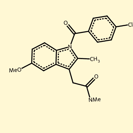 CNC(=O)Cc1c(C)n(C(=O)c2ccc(Cl)cc2)c2ccc(OC)cc12